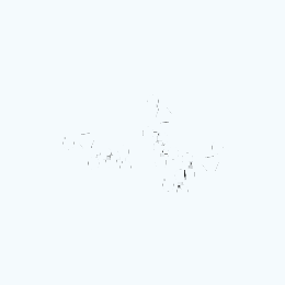 CCOc1cccc(C(=O)OOC(=O)OCCC(CCOC(=O)OOC(=O)c2cccc(OCC)c2)COC(=O)OOC(=O)c2cccc(OCC)c2)c1